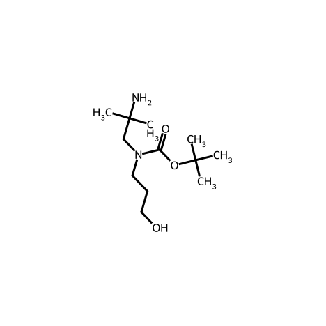 CC(C)(N)CN(CCCO)C(=O)OC(C)(C)C